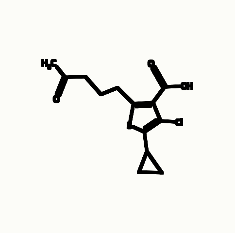 CC(=O)CCCc1sc(C2CC2)c(Cl)c1C(=O)O